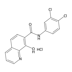 Cl.O=C(Nc1ccc(Cl)c(Cl)c1)c1ccc2cccnc2c1O